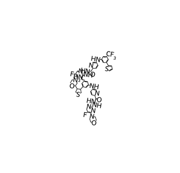 Cc1cc(Nc2ccc(C(=O)NNc3ncc(F)c(N4CCOCC4)n3)nc2)cc(C2CSCC2C2CN(c3nc(NNC(=O)c4ccc(Nc5cc(-c6cccs6)cc(C(F)(F)F)c5)cn4)ncc3F)CCO2)c1